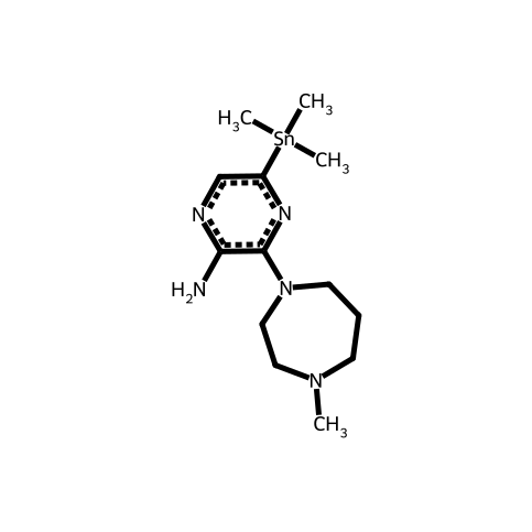 CN1CCCN(c2n[c]([Sn]([CH3])([CH3])[CH3])cnc2N)CC1